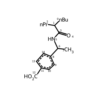 CCCCC(CCC)C(=O)NC(C)c1ccc(C(=O)O)cc1